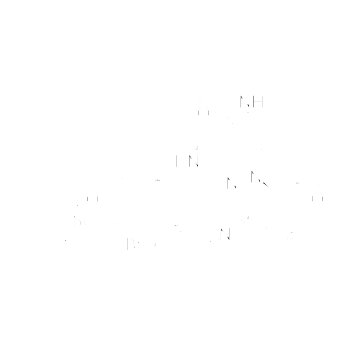 CC(C)(O[Si](C)(C)C(C)(C)C)c1cc(Nc2nn([C@H]3COCC[C@@H]3C#N)cc2C(N)=O)ccc1Br